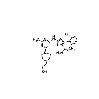 Cc1nc(Nc2nc(-c3c(C)cccc3Cl)c(C(N)=O)s2)cc(N2CCN(CCO)CC2)n1